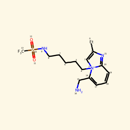 CCC1=C[N+]2(CCCCCNS(=O)(=O)C(F)(F)F)C(CN)=CC=CC2=N1